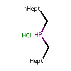 CCCCCCCCPCCCCCCCC.Cl